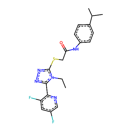 CCn1c(SCC(=O)Nc2ccc(C(C)C)cc2)nnc1-c1ncc(F)cc1F